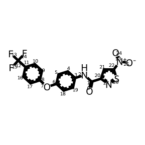 O=C(Nc1ccc(Oc2ccc(C(F)(F)F)cc2)cc1)c1cc([N+](=O)[O-])sn1